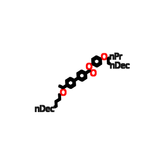 CCCCCCCCCCCCCCOC(C)c1ccc(-c2ccc(C(=O)Oc3ccc(OC(CCC)CCCCCCCCCCC)cc3)cc2)cc1